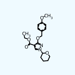 CCOC(=O)c1cn(C2CCCCO2)nc1OCc1ccc(OC)cc1